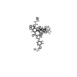 COc1ccc(C2=CN3C(=O)c4cc(OC)c(OCCCBr)cc4N(C(=O)O)C(O[Si](C)(C)C(C)(C)C)[C@@H]3C2)cc1